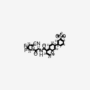 CS(=O)(=O)c1cccc(-c2ccc3c(C(=O)NCC(=O)N4CC(F)(F)C[C@H]4C#N)ccnc3c2)c1